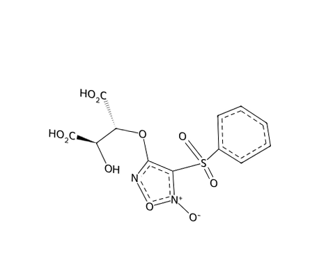 O=C(O)[C@H](O)[C@@H](Oc1no[n+]([O-])c1S(=O)(=O)c1ccccc1)C(=O)O